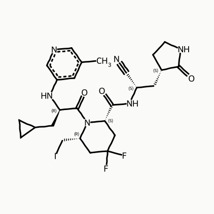 Cc1cncc(N[C@H](CC2CC2)C(=O)N2[C@@H](CI)CC(F)(F)C[C@H]2C(=O)N[C@H](C#N)C[C@@H]2CCNC2=O)c1